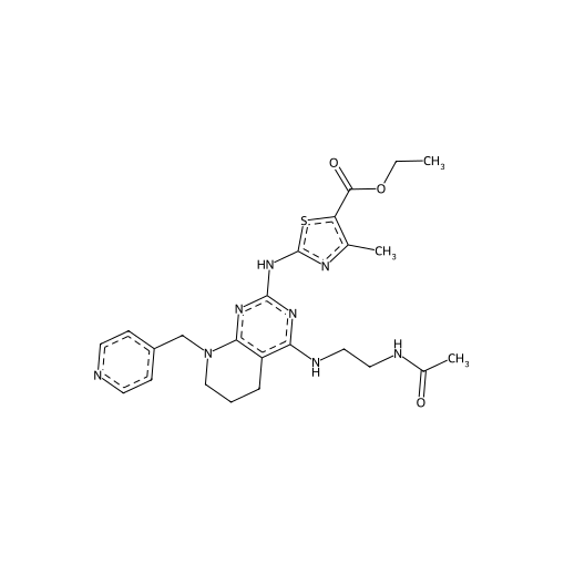 CCOC(=O)c1sc(Nc2nc(NCCNC(C)=O)c3c(n2)N(Cc2ccncc2)CCC3)nc1C